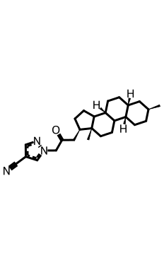 C[C@H]1CC[C@@H]2C3CC[C@@]4(C)C(CC[C@@H]4CC(=O)Cn4cc(C#N)cn4)[C@@H]3CC[C@@H]2C1